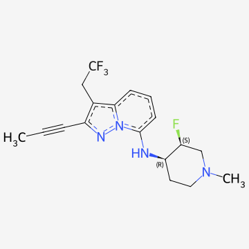 CC#Cc1nn2c(N[C@@H]3CCN(C)C[C@@H]3F)cccc2c1CC(F)(F)F